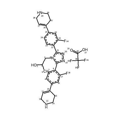 CC(O)Cn1c(-c2ccc(C3=CCNCC3)cc2F)nnc1-c1ccc(C2=CCNCC2)cc1F.O=C(O)C(F)(F)F